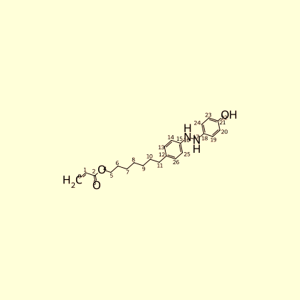 C=CC(=O)OCCCCCCCc1ccc(NNc2ccc(O)cc2)cc1